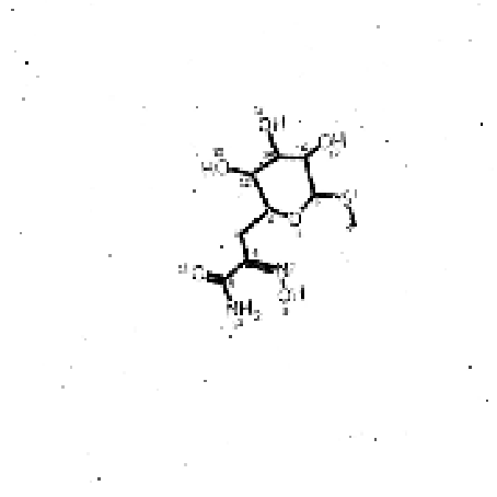 CSC1OC([CH]C(=NO)C(N)=O)C(O)C(O)C1O